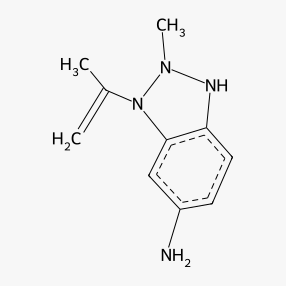 C=C(C)N1c2cc(N)ccc2NN1C